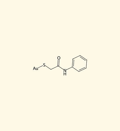 O=C(C[S][Au])Nc1ccccc1